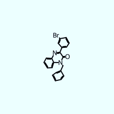 O=c1c(-c2cccc(Br)c2)nc2ccccc2n1Cc1ccccc1